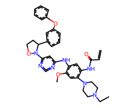 C=CC(=O)Nc1cc(Nc2cc(N3OCCC3c3cccc(Oc4ccccc4)c3)ncn2)c(OC)cc1N1CCN(CC)CC1